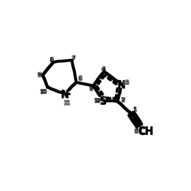 C#Cc1ncc(C2CCCC[N]2)s1